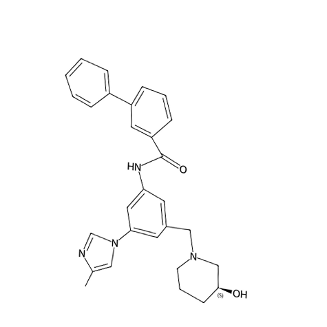 Cc1cn(-c2cc(CN3CCC[C@H](O)C3)cc(NC(=O)c3cccc(-c4ccccc4)c3)c2)cn1